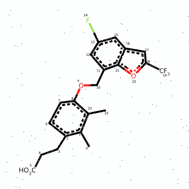 Cc1c(CCC(=O)O)ccc(OCc2cc(F)cc3cc(C(F)(F)F)oc23)c1C